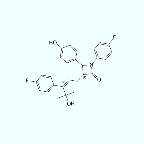 CC(C)(O)/C(=C\C[C@H]1C(=O)N(c2ccc(F)cc2)C1c1ccc(O)cc1)c1ccc(F)cc1